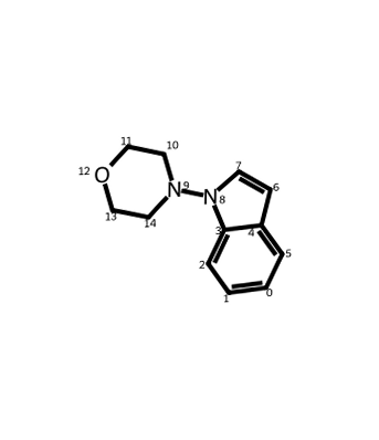 c1ccc2c(c1)ccn2N1CCOCC1